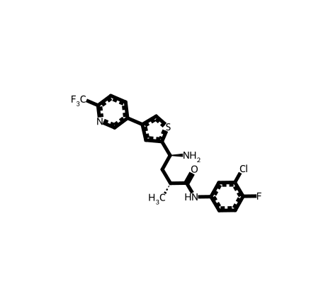 C[C@H](C[C@H](N)c1cc(-c2ccc(C(F)(F)F)nc2)cs1)C(=O)Nc1ccc(F)c(Cl)c1